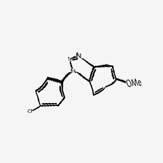 COc1ccc2c(c1)nnn2-c1ccc(Cl)cc1